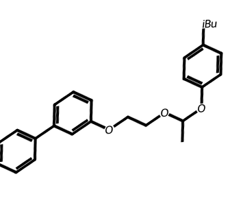 CCC(C)c1ccc(OC(C)OCCOc2cccc(-c3ccccc3)c2)cc1